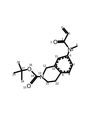 C=CC(=O)N(C)c1ccc2c(c1)CN(C(=O)OC(C)(C)C)CC2